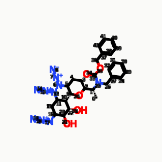 C[C@H]([C@@H]1CCC(N=[N+]=[N-])[C@@H](C2C(N=[N+]=[N-])CC(N=[N+]=[N-])[C@H](O)[C@H]2O)O1)N(Cc1ccccc1)C(=O)OCc1ccccc1